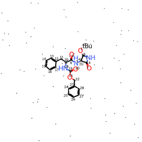 CC(C)(C)O[C@@H]1NC(=O)[C@H]1NC(=O)[C@H](Cc1ccccc1)NC(=O)OCc1ccccc1